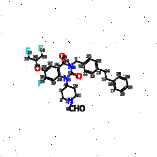 O=CN1CCC(n2c(=O)n(Cc3ccc(CCc4ccccc4)cc3)c(=O)c3cc(OC(CF)CF)c(F)cc32)CC1